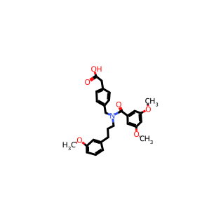 COc1cccc(CCCN(Cc2ccc(CC(=O)O)cc2)C(=O)c2cc(OC)cc(OC)c2)c1